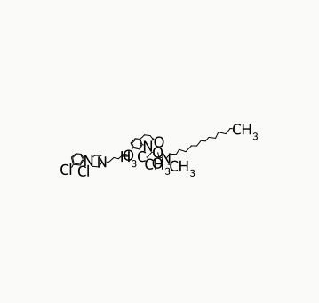 CCCCCCCCCCCCCCN(CC)C(=O)OC(C(C)C)N1C(=O)CCc2ccc(OCCCCN3CCN(c4cccc(Cl)c4Cl)CC3)cc21